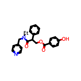 CCN(Cc1ccncc1)C(=O)C(COC(=O)c1ccc(O)cc1)c1ccccc1